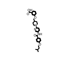 CC(C)CCOc1ccc(C(=O)Nc2ccc(N3CCC(COc4cccc(C(=O)O)c4)CC3)nc2)cc1